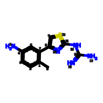 Cc1ccc(N)cc1-c1csc(NC(=N)N)n1